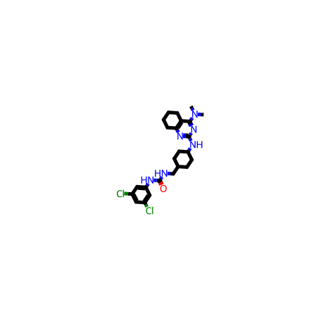 CN(C)c1nc(NC2CCC(CNC(=O)Nc3cc(Cl)cc(Cl)c3)CC2)nc2c1CCCC2